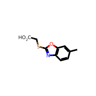 Cc1ccc2nc(SCC(=O)O)oc2c1